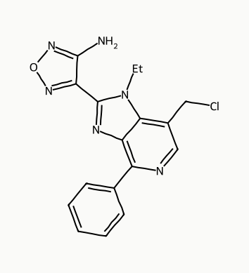 CCn1c(-c2nonc2N)nc2c(-c3ccccc3)ncc(CCl)c21